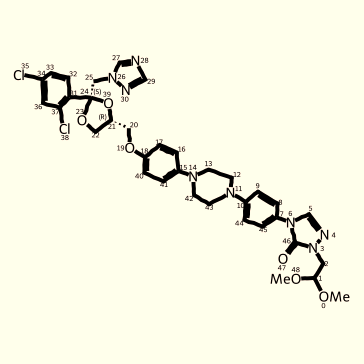 COC(Cn1ncn(-c2ccc(N3CCN(c4ccc(OC[C@@H]5CO[C@@](Cn6cncn6)(c6ccc(Cl)cc6Cl)O5)cc4)CC3)cc2)c1=O)OC